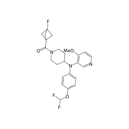 COc1ccncc1N(c1ccc(OC(F)F)cc1)C1CCN(C(=O)C23CC(F)(C2)C3)CC1